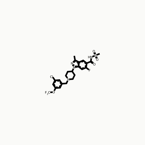 Cc1nn(C2CCN(Cc3cc(Cl)cc(OC(F)(F)F)c3)CC2)c2cc(F)c(C(=O)NS(C)(=O)=O)cc12